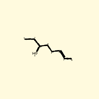 CC=CC[CH]C(O)CC